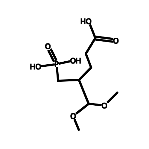 COC(OC)C(CCC(=O)O)CP(=O)(O)O